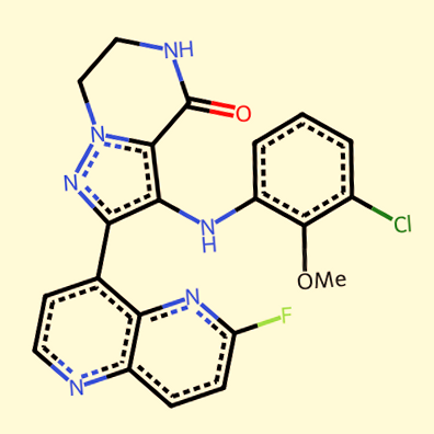 COc1c(Cl)cccc1Nc1c(-c2ccnc3ccc(F)nc23)nn2c1C(=O)NCC2